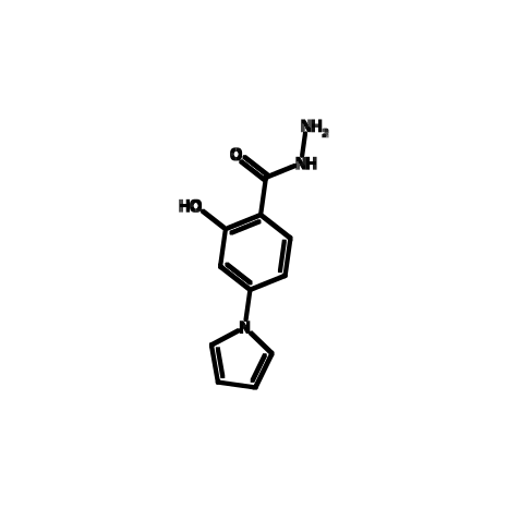 NNC(=O)c1ccc(-n2cccc2)cc1O